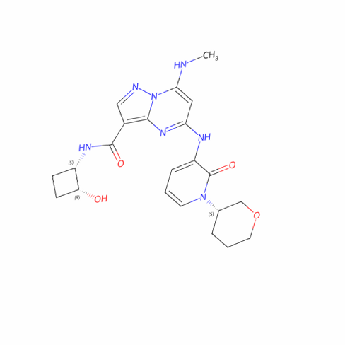 CNc1cc(Nc2cccn([C@H]3CCCOC3)c2=O)nc2c(C(=O)N[C@H]3CC[C@H]3O)cnn12